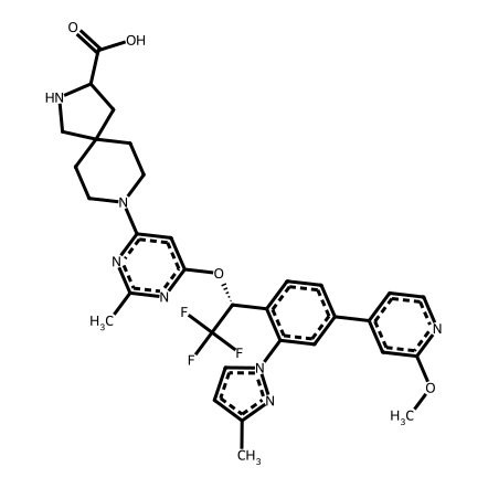 COc1cc(-c2ccc([C@@H](Oc3cc(N4CCC5(CC4)CNC(C(=O)O)C5)nc(C)n3)C(F)(F)F)c(-n3ccc(C)n3)c2)ccn1